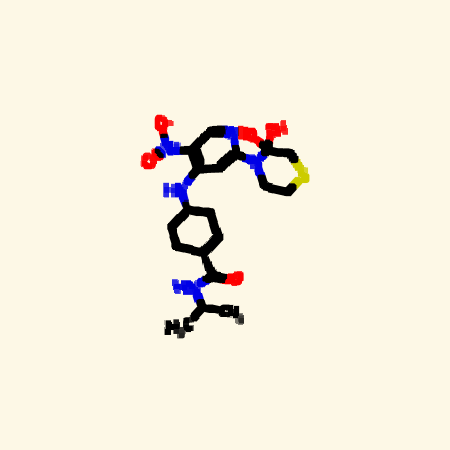 CC(C)NC(=O)[C@H]1CC[C@@H](Nc2cc(N3CCSCC3(O)O)ncc2[N+](=O)[O-])CC1